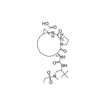 CCS(=O)(=O)N(C)CC(NC(=O)N[C@H]1CCCCCCCC2C[C@@]2(C(=O)O)NC(=O)[C@@H]2CCCN2C1=O)C(C)(C)C